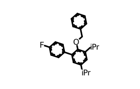 CC(C)c1cc(-c2ccc(F)cc2)c(OCc2ccccc2)c(C(C)C)c1